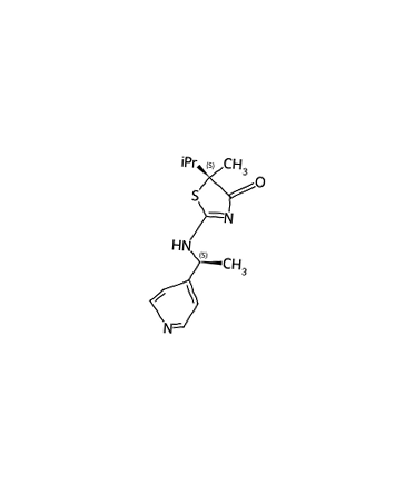 CC(C)[C@]1(C)SC(N[C@@H](C)c2ccncc2)=NC1=O